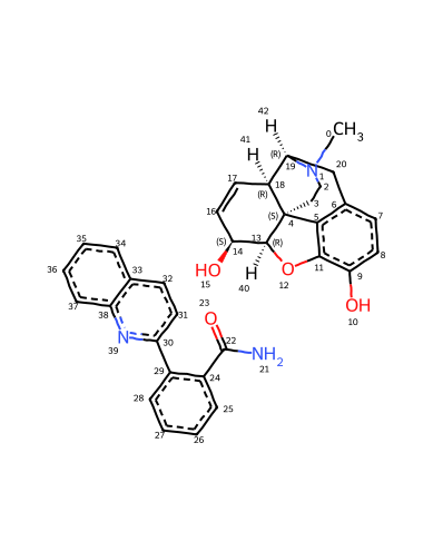 CN1CC[C@]23c4c5ccc(O)c4O[C@H]2[C@@H](O)C=C[C@H]3[C@H]1C5.NC(=O)c1ccccc1-c1ccc2ccccc2n1